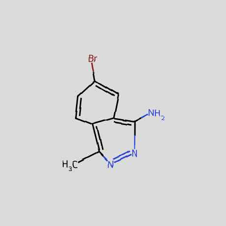 Cc1nnc(N)c2cc(Br)ccc12